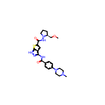 COC[C@@H]1CCCN1NC(=O)c1cc2c(NC(=O)c3ccc(N4CCN(C)CC4)cc3)n[nH]c2s1